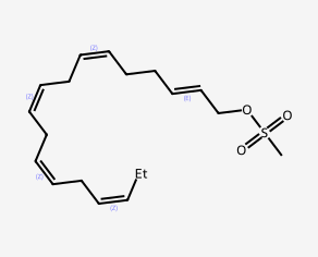 CC/C=C\C/C=C\C/C=C\C/C=C\CC/C=C/COS(C)(=O)=O